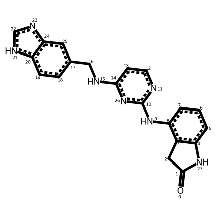 O=C1Cc2c(cccc2Nc2nccc(NCc3ccc4[nH]cnc4c3)n2)N1